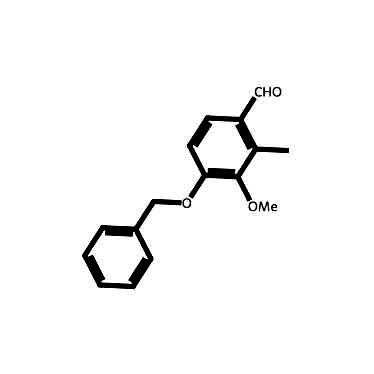 COc1c(OCc2ccccc2)ccc(C=O)c1C